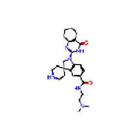 CN(C)CCNC(=O)c1ccc2c(c1)C1(CCNCC1)CN2c1nc2c(c(=O)[nH]1)CCCC2